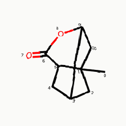 CC12CC3CC1C(=O)OC3C2